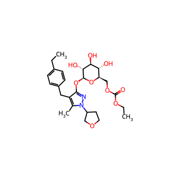 CCOC(=O)OC[C@H]1O[C@@H](Oc2nn(C3CCOC3)c(C)c2Cc2ccc(CC)cc2)[C@H](O)[C@@H](O)[C@@H]1O